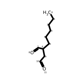 CCCCCCC(C=O)C[C]=O